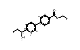 CCOC(=O)c1ccc(-c2ccc(C(O)CC)nc2)cc1